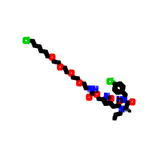 CCCN(C(=O)Cc1cc(COC(=O)NCCOCCOCCOCCOCCCCCCCl)no1)[C@@H](C)C(=O)NCc1ccc(Cl)cc1